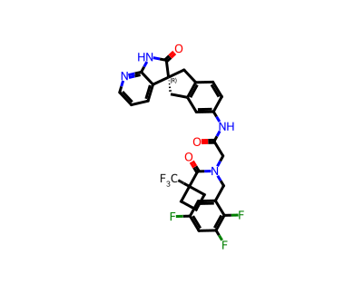 O=C(CN(Cc1cc(F)cc(F)c1F)C(=O)C1(C(F)(F)F)CCC1)Nc1ccc2c(c1)C[C@@]1(C2)C(=O)Nc2ncccc21